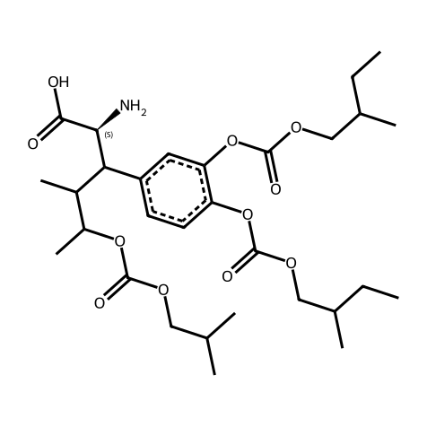 CCC(C)COC(=O)Oc1ccc(C(C(C)C(C)OC(=O)OCC(C)C)[C@H](N)C(=O)O)cc1OC(=O)OCC(C)CC